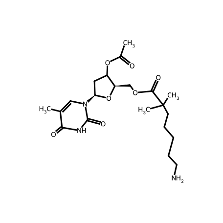 CC(=O)OC1C[C@H](n2cc(C)c(=O)[nH]c2=O)O[C@@H]1COC(=O)C(C)(C)CCCCCN